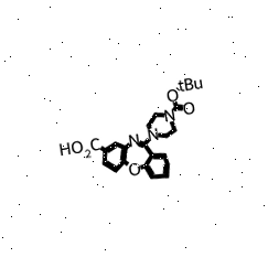 CC(C)(C)OC(=O)N1CCN(C2=Nc3cc(C(=O)O)ccc3Oc3ccccc32)CC1